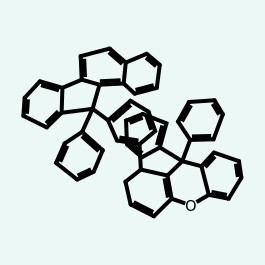 C1=CC2=C(C(c3cccc(C4(c5ccccc5)c5ccccc5-c5ccc6ccccc6c54)c3)C1)C(c1ccccc1)(c1ccccc1)c1ccccc1O2